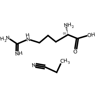 CCC#N.N=C(N)NCCC[C@H](N)C(=O)O